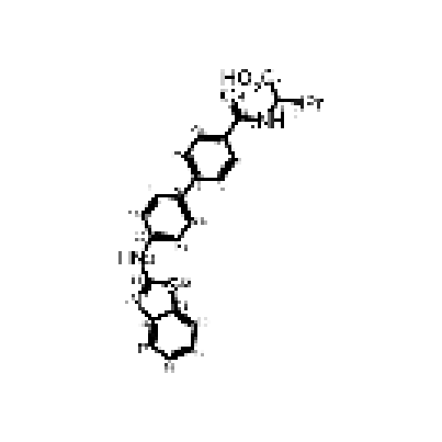 CC(C)[C@@H](NC(=O)c1ccc(-c2ccc(Nc3nc4ccccc4s3)cc2)cc1)C(=O)O